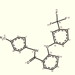 Cc1ccc(NC(=O)c2cccnc2Oc2cccc(C(F)(F)F)c2)cc1